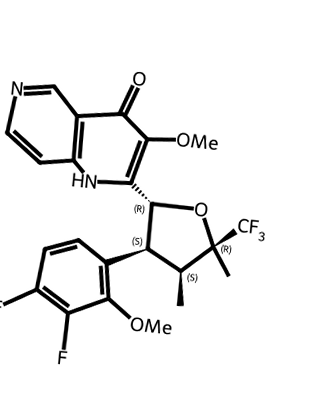 COc1c([C@H]2[C@H](c3[nH]c4ccncc4c(=O)c3OC)O[C@@](C)(C(F)(F)F)[C@H]2C)ccc(F)c1F